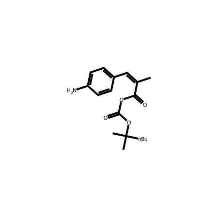 CCCCC(C)(C)OC(=O)OC(=O)C(C)=Cc1ccc(N)cc1